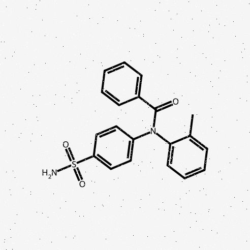 Cc1ccccc1N(C(=O)c1ccccc1)c1ccc(S(N)(=O)=O)cc1